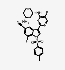 Cc1ccc(S(=O)(=O)n2cc(-c3ncc(F)c(N[C@H]4CCC[C@@H](N)C4)n3)c3cc(C#N)cc(F)c32)cc1